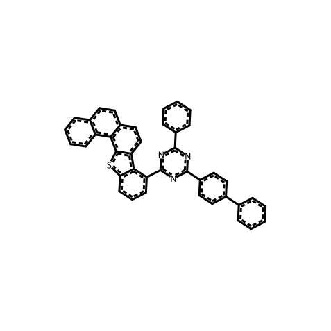 c1ccc(-c2ccc(-c3nc(-c4ccccc4)nc(-c4cccc5sc6c(ccc7ccc8ccccc8c76)c45)n3)cc2)cc1